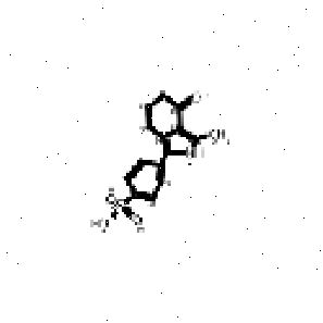 Cc1[nH]c(-c2ccc(S(C)(=O)=O)cc2)c2c1C(=O)CCC2